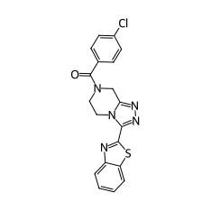 O=C(c1ccc(Cl)cc1)N1CCn2c(nnc2-c2nc3ccccc3s2)C1